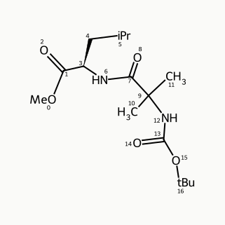 COC(=O)[C@@H](CC(C)C)NC(=O)C(C)(C)NC(=O)OC(C)(C)C